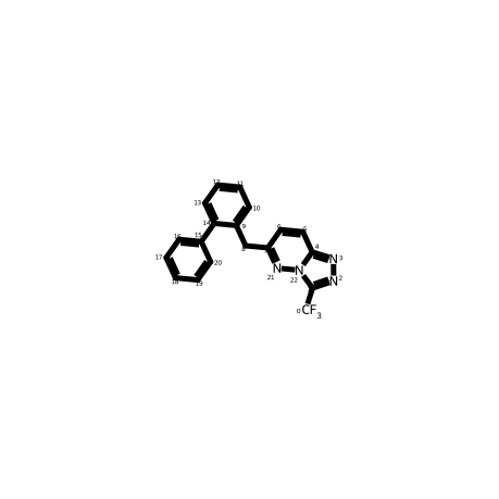 FC(F)(F)c1nnc2ccc(Cc3ccccc3-c3ccccc3)nn12